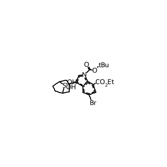 CCOC(=O)c1cc(Br)cc2c(C3CC4CCC(C3)S4(O)O)cn(C(=O)OC(C)(C)C)c12